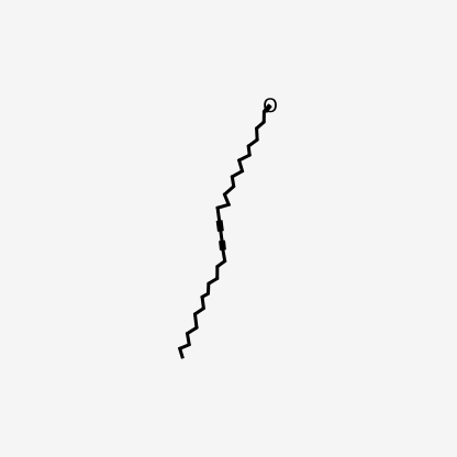 CCCCCCCCCCCCCC#CC#CCCCCCCCCCCCCC=O